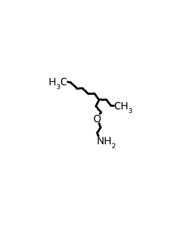 CCCCCCC(CCC)CCOCCN